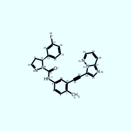 Cc1ccc(NC(=O)N2N=CC[C@H]2c2cccc(F)c2)cc1C#Cc1cnc2cccnn12